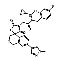 Cn1cc(-c2ccc3c(c2)COCC32OC(=O)N(CC(=O)N(Cc3ccc(F)cc3)[C@@H](C3CC3)C(F)(F)F)C2=O)cn1